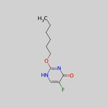 CCCCCCOc1nc(=O)c(F)c[nH]1